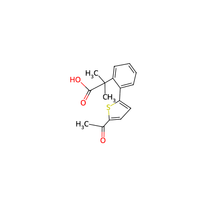 CC(=O)c1ccc(-c2ccccc2C(C)(C)C(=O)O)s1